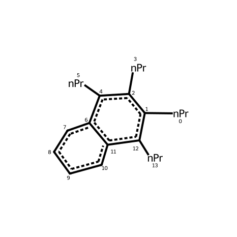 CCCc1c(CCC)c(CCC)c2ccccc2c1CCC